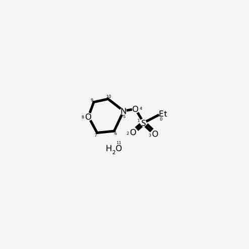 CCS(=O)(=O)ON1CCOCC1.O